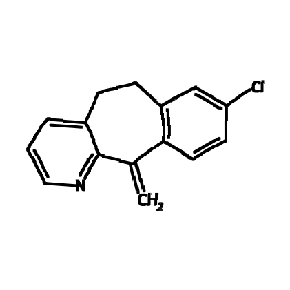 C=C1c2ccc(Cl)cc2CCc2cccnc21